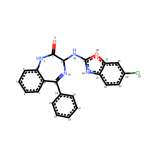 O=C1Nc2ccccc2C(c2ccccc2)=NC1Nc1nc2ccc(Cl)cc2o1